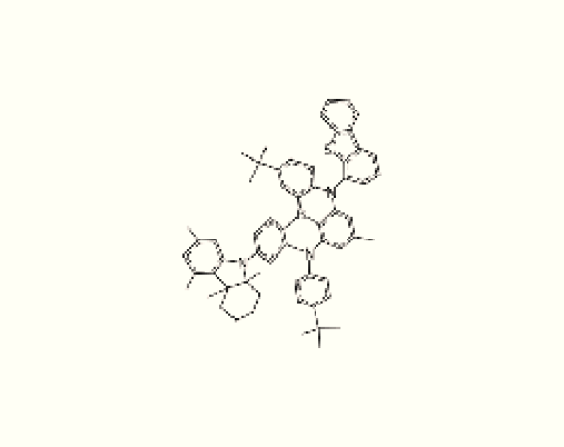 Cc1cc2c3c(c1)N(c1cccc4c1sc1ccccc14)c1ccc(C(C)(C)C)cc1B3c1ccc(N3c4cc(C)cc(C)c4C4(C)CCCCC34C)cc1N2c1ccc(C(C)(C)C)cc1